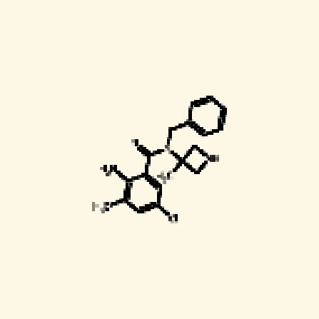 Cc1cc(Cl)cc(C(=O)N(Cc2ccccc2)C2(C)CNC2)c1N